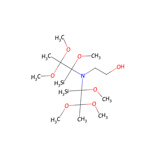 COC(C)(OC)C([SiH3])(OC)N(CCO)C([SiH3])(OC)C(C)(OC)OC